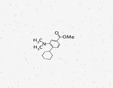 COC(=O)c1ccc(C2CCCCC2)c(N(C)C)c1